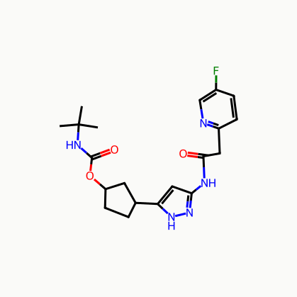 CC(C)(C)NC(=O)OC1CCC(c2cc(NC(=O)Cc3ccc(F)cn3)n[nH]2)C1